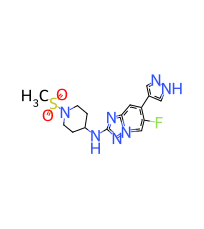 CS(=O)(=O)N1CCC(Nc2nc3cc(-c4cn[nH]c4)c(F)cn3n2)CC1